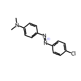 CN(C)c1ccc(/N=N/c2ccc(Cl)cc2)cc1